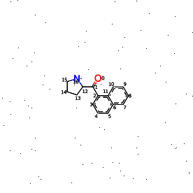 O=C(c1cccc2ccccc12)C1CCC[N]1